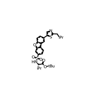 CC(C)Cc1ncc(-c2ccc3oc4cc(S(=O)(=O)N[C@H](C(=O)OC(C)(C)C)C(C)C)ccc4c3c2)s1